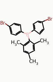 Cc1cc(C)c(B(c2ccc(Br)cc2)c2ccc(Br)cc2)c(C)c1